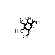 Cc1c(CCl)cc(CCl)c(C)c1CCl